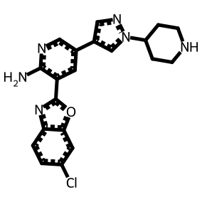 Nc1ncc(-c2cnn(C3CCNCC3)c2)cc1-c1nc2ccc(Cl)cc2o1